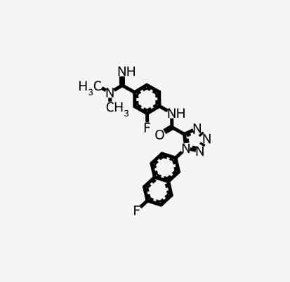 CN(C)C(=N)c1ccc(NC(=O)c2nnnn2-c2ccc3cc(F)ccc3c2)c(F)c1